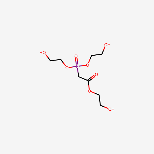 O=C(CP(=O)(OCCO)OCCO)OCCO